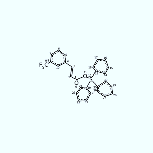 O=C(C=Cc1cccc(C(F)(F)F)c1)OS(c1ccccc1)(c1ccccc1)c1ccccc1